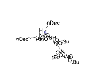 CCCCCCCCCCCCC/C=C/[C@@H](OC(=O)NCCCN(CCCCN(CCCNC(=O)OC(C)(C)C)C(=O)OC(C)(C)C)C(=O)OC(C)(C)C)[C@H](CO)NC(=O)CCCCCCCCCCCCCCC